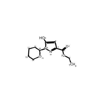 CCOC(=O)c1cc(O)n(C2CCCCO2)n1